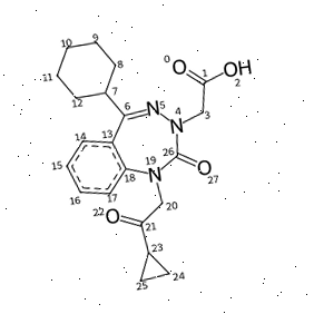 O=C(O)CN1N=C(C2CCCCC2)c2ccccc2N(CC(=O)C2CC2)C1=O